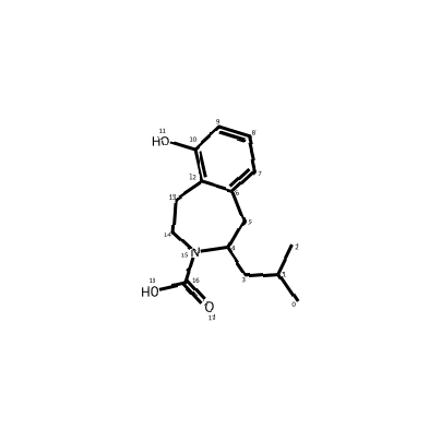 CC(C)CC1Cc2cccc(O)c2CCN1C(=O)O